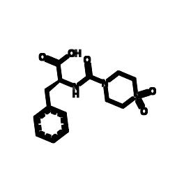 O=C(O)[C@H](Cc1ccccc1)NC(=O)N1CCS(=O)(=O)CC1